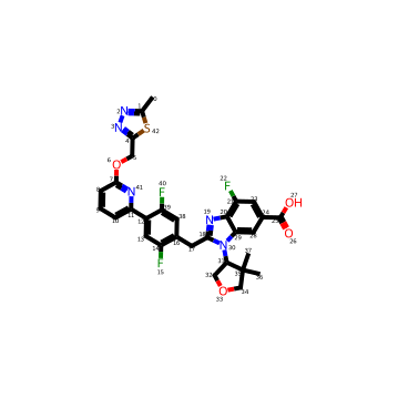 Cc1nnc(COc2cccc(-c3cc(F)c(Cc4nc5c(F)cc(C(=O)O)cc5n4C4COCC4(C)C)cc3F)n2)s1